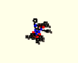 CCCCN(C(=O)OC(C)(C)C)c1nc(N(C(=O)OC(C)(C)C)C(=O)OC(C)(C)C)nc2c1CCN(Cc1ccccc1)C2